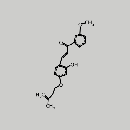 C=C(C)CCOc1ccc(/C=C/C(=O)c2cccc(OC)c2)c(O)c1